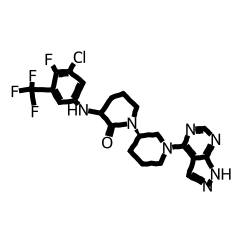 O=C1C(Nc2cc(Cl)c(F)c(C(F)(F)F)c2)CCCN1[C@@H]1CCCN(c2ncnc3[nH]ncc23)C1